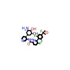 C[C@H]1C[C@@H](c2ccncc2NC(=O)c2ccc(F)c(-c3c(F)cc(C4(F)COC4)cc3F)n2)C[C@@H](N)[C@@H]1O